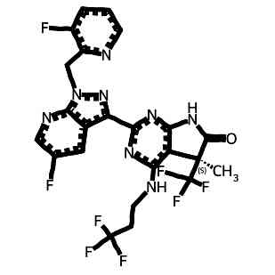 C[C@@]1(C(F)(F)F)C(=O)Nc2nc(-c3nn(Cc4ncccc4F)c4ncc(F)cc34)nc(NCCC(F)(F)F)c21